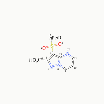 CCCCCS(=O)(=O)c1c(C(=O)O)nn2cccnc12